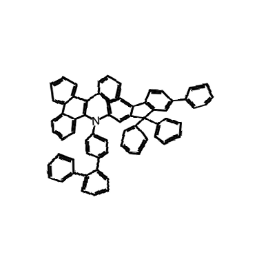 c1ccc(-c2ccc3c(c2)C(c2ccccc2)(c2ccccc2)c2cc(N(c4ccc(-c5ccccc5-c5ccccc5)cc4)c4c(-c5ccccc5)c5ccccc5c5ccccc45)ccc2-3)cc1